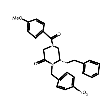 COc1ccc(C(=O)N2CC(=O)N(Cc3ccc([N+](=O)[O-])cc3)[C@@H](CCc3ccccc3)C2)cc1